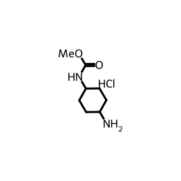 COC(=O)NC1CCC(N)CC1.Cl